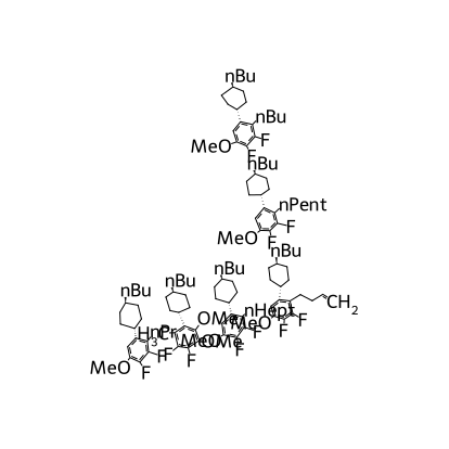 C=CCCc1c(F)c(F)c(OC)cc1[C@H]1CC[C@H](CCCC)CC1.CCCCCCCc1c(F)c(F)c(OC)cc1[C@H]1CC[C@H](CCCC)CC1.CCCCCc1c(F)c(F)c(OC)cc1[C@H]1CC[C@H](CCCC)CC1.CCCC[C@H]1CC[C@H](c2c(C)c(F)c(F)c(OC)c2OC)CC1.CCCC[C@H]1CC[C@H](c2cc(OC)c(F)c(F)c2CCC)CC1.CCCCc1c(F)c(F)c(OC)cc1[C@H]1CC[C@H](CCCC)CC1